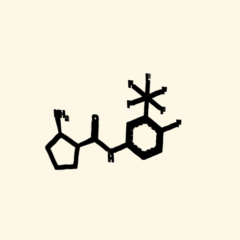 N[C@@H]1CCC[C@@H]1C(=O)Nc1ccc(F)c(S(F)(F)(F)(F)F)c1